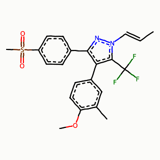 CC=Cn1nc(-c2ccc(S(C)(=O)=O)cc2)c(-c2ccc(OC)c(C)c2)c1C(F)(F)F